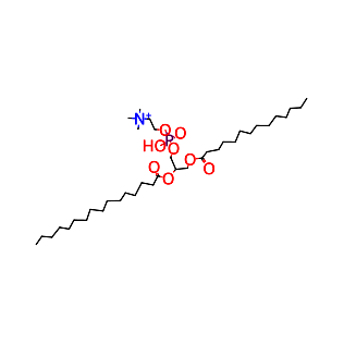 CCCCCCCCCCCCCCCC(=O)OC(COC(=O)CCCCCCCCCCCCC)COP(=O)(O)OCC[N+](C)(C)C